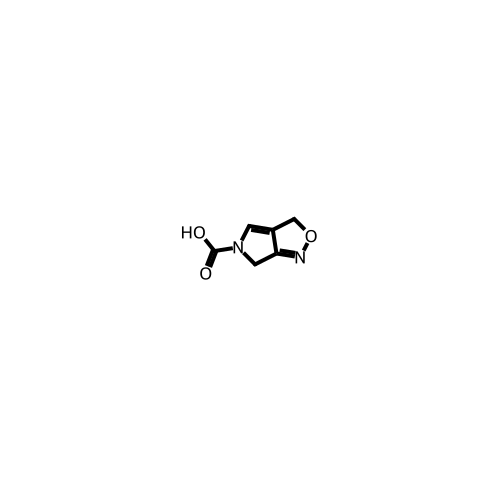 O=C(O)N1C=C2CON=C2C1